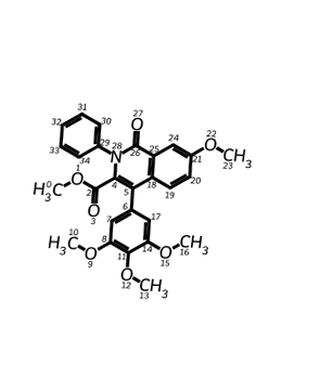 COC(=O)c1c(-c2cc(OC)c(OC)c(OC)c2)c2ccc(OC)cc2c(=O)n1-c1ccccc1